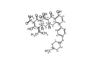 CN1CCN(Cc2ccc(-c3ccc(O)c4c3C[C@@H]3C[C@@H]5[C@@H](N(C)C)C(O)=C(C(N)=O)C(=O)[C@@]5(O)C(O)=C3C4=O)cc2)CC1